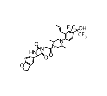 CC=Cc1cc(C(O)(C(F)(F)F)C(F)(F)F)ccc1N1CC(C)N(C(=O)CN2C(=O)N[C@](C)(c3ccc4c(c3)CCO4)C2=O)CC1C